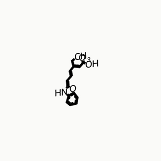 CCC(C=CC=C1Nc2ccccc2O1)=CC(=O)O